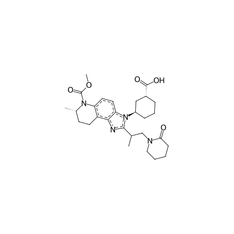 COC(=O)N1c2ccc3c(nc(C(C)CN4CCCCC4=O)n3[C@@H]3CCC[C@@H](C(=O)O)C3)c2CC[C@@H]1C